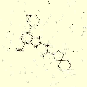 COc1ncc(C2CCCNC2)c2sc(NC(=O)N3CCC4(CCOCC4)C3)nc12